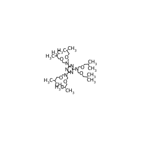 CC(C)COCN(COCC(C)C)c1nc(N(COCC(C)C)COCC(C)C)nc(N(COCC(C)C)COCC(C)C)n1